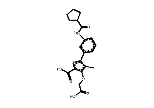 Cc1c(-c2cccc(NC(=O)C3CCCC3)c2)sc(C(=O)O)c1OCC(=O)O